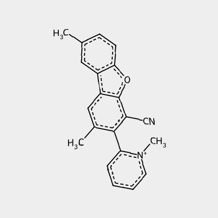 Cc1ccc2oc3c(C#N)c(-c4cccc[n+]4C)c(C)cc3c2c1